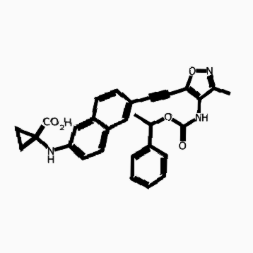 Cc1noc(C#Cc2ccc3cc(NC4(C(=O)O)CC4)ccc3c2)c1NC(=O)OC(C)c1ccccc1